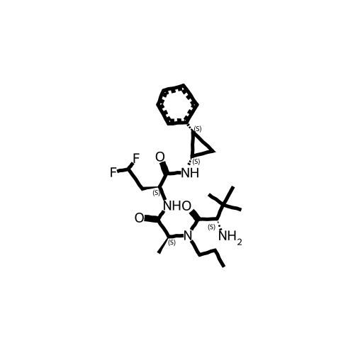 CCCN(C(=O)[C@@H](N)C(C)(C)C)[C@@H](C)C(=O)N[C@@H](CC(F)F)C(=O)N[C@H]1C[C@H]1c1ccccc1